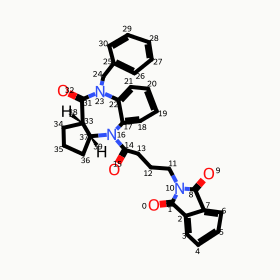 O=C1c2ccccc2C(=O)N1CCCC(=O)N1c2ccccc2N(Cc2ccccc2)C(=O)[C@H]2CCC[C@H]21